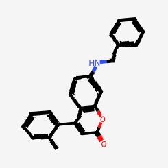 Cc1ccccc1-c1cc(=O)oc2cc(NCc3ccccc3)ccc12